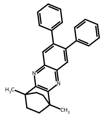 CC12CCC(C)(CC1)c1nc3cc(-c4ccccc4)c(-c4ccccc4)cc3nc12